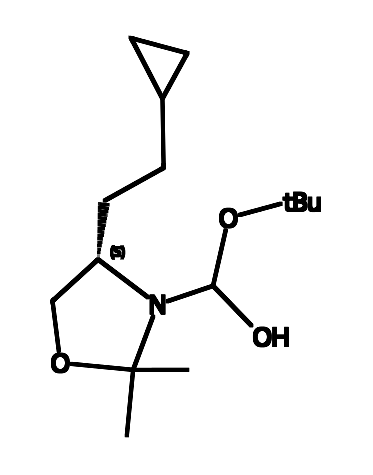 CC(C)(C)OC(O)N1[C@@H](CCC2CC2)COC1(C)C